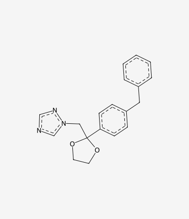 c1ccc(Cc2ccc(C3(Cn4cncn4)OCCO3)cc2)cc1